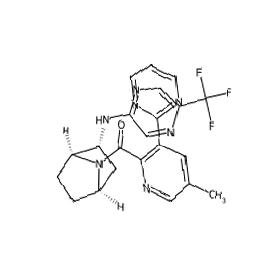 Cc1cnc(C(=O)N2[C@@H]3CC[C@H]2[C@H](Nc2cnc(C(F)(F)F)cn2)C3)c(-c2ncccn2)c1